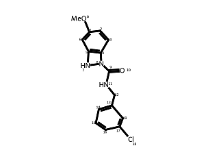 COc1ccc2c(c1)[nH]n2C(=O)NCc1cccc(Cl)c1